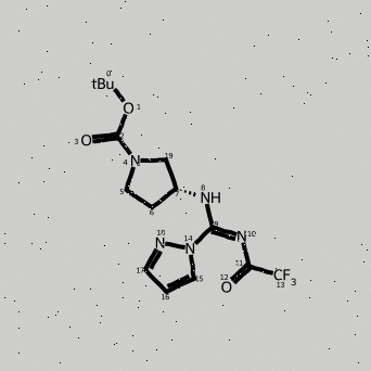 CC(C)(C)OC(=O)N1CC[C@@H](N/C(=N/C(=O)C(F)(F)F)n2cccn2)C1